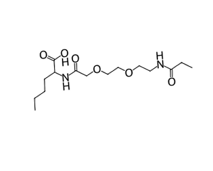 CCCCC(NC(=O)COCCOCCNC(=O)CC)C(=O)O